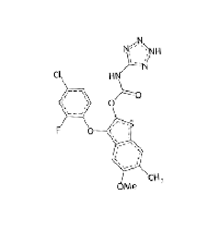 COc1cc2c(Oc3ccc(Cl)cc3F)c(OC(=O)Nc3nn[nH]n3)sc2cc1C